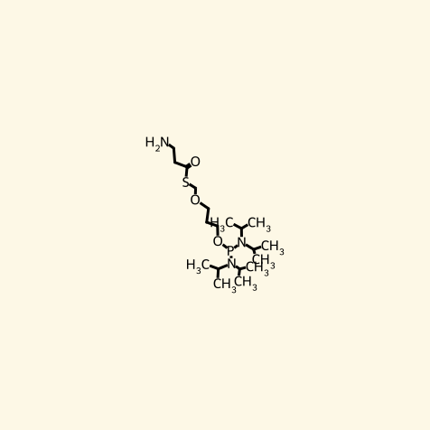 CC(C)N(C(C)C)P(OCCCOCSC(=O)CCN)N(C(C)C)C(C)C